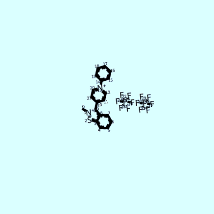 C[n+]1sc2ccccc2c1-c1cc[n+](-c2ccccc2)cc1.F[P-](F)(F)(F)(F)F.F[P-](F)(F)(F)(F)F